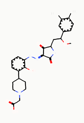 COC(CC1NC(=O)C(=NNc2cccc(C3CCN(CC(=O)O)CC3)c2O)C1=O)c1ccc(C)c(C)c1